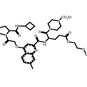 CCOCCOC(=O)CCC(NC(=O)c1cc(OCC(=O)N2CCCC2C(=O)NC2CCC2)c2ccc(C)cc2n1)C(=O)N1CCN(C(=O)OCC)CC1